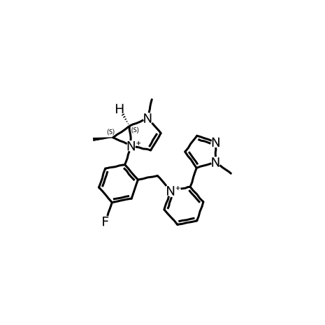 C[C@H]1[C@H]2N(C)C=C[N+]12c1ccc(F)cc1C[n+]1ccccc1-c1ccnn1C